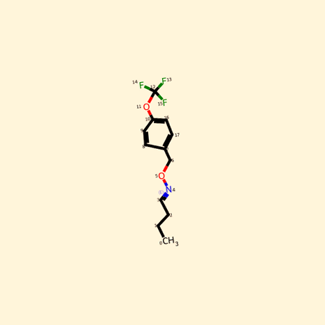 CCC/[C]=N/OCc1ccc(OC(F)(F)F)cc1